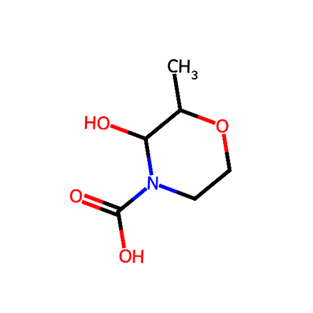 CC1OCCN(C(=O)O)C1O